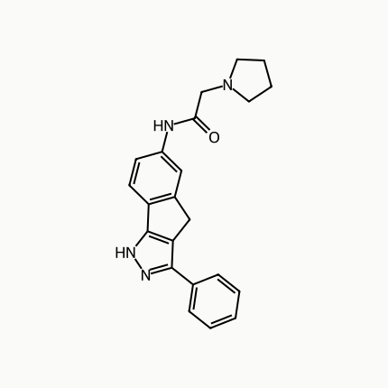 O=C(CN1CCCC1)Nc1ccc2c(c1)Cc1c(-c3ccccc3)n[nH]c1-2